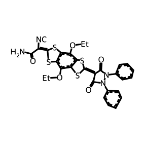 [C-]#[N+]C(C(N)=O)=C1Sc2c(OCC)c3c(c(OCC)c2S1)SC(=C1C(=O)N(c2ccccc2)N(c2ccccc2)C1=O)S3